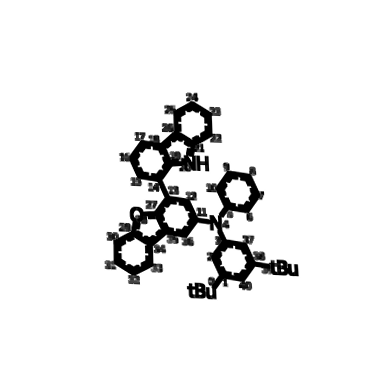 CC(C)(C)c1cc(N(c2ccccc2)c2cc(-c3cccc4c3[nH]c3ccccc34)c3oc4ccccc4c3c2)cc(C(C)(C)C)c1